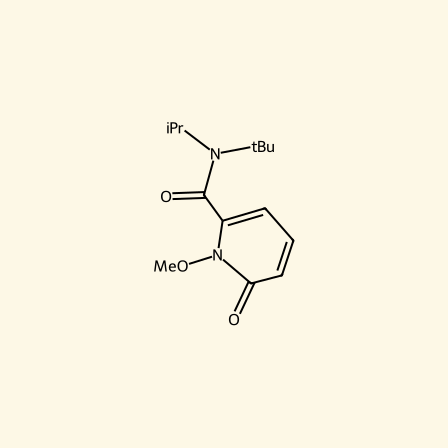 COn1c(C(=O)N(C(C)C)C(C)(C)C)cccc1=O